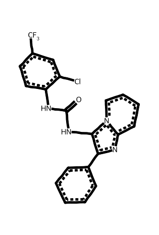 O=C(Nc1ccc(C(F)(F)F)cc1Cl)Nc1c(-c2ccccc2)nc2ccccn12